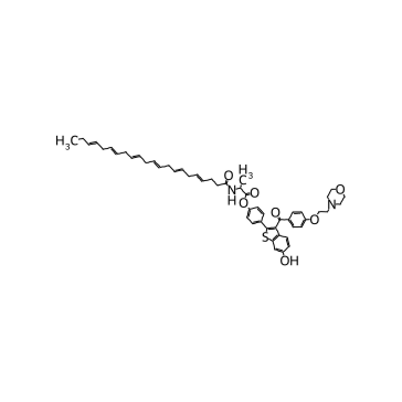 CCC=CCC=CCC=CCC=CCC=CCC=CCCC(=O)N[C@@H](C)C(=O)Oc1ccc(-c2sc3cc(O)ccc3c2C(=O)c2ccc(OCCN3CCOCC3)cc2)cc1